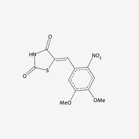 COc1cc(/C=C2\SC(=O)NC2=O)c([N+](=O)[O-])cc1OC